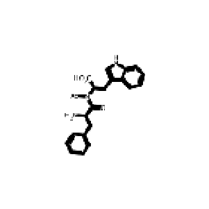 CC(=O)N(C(=O)C(N)Cc1[c]cccc1)C(Cc1[c][nH]c2ccccc12)C(=O)O